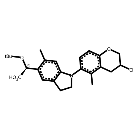 Cc1cc2c(cc1[C@H](OC(C)(C)C)C(=O)O)CCN2c1ccc2c(c1C)CC(Cl)CO2